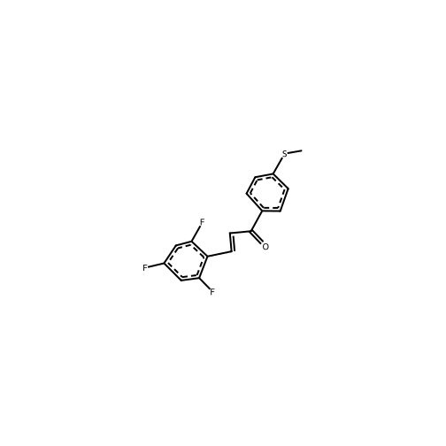 CSc1ccc(C(=O)C=Cc2c(F)cc(F)cc2F)cc1